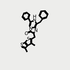 Cc1csc2sc(Cc3nc4c(Cc5ccccc5)[nH]c(-c5ccccc5)cn-4c3=O)c(C)c12